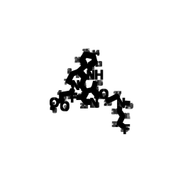 COC(=O)CCN1CCc2c([nH]c3ccccc23)C1c1c(F)cnc(OCCN(C)CCCF)c1C